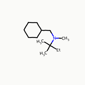 CCC(C)(C)N(C)CC1CCCCC1